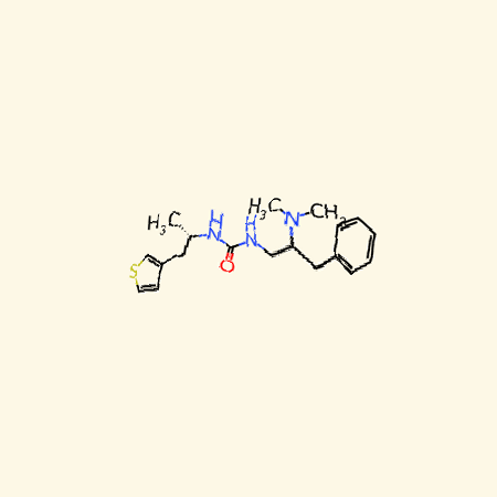 C[C@@H](Cc1ccsc1)NC(=O)NCC(Cc1ccccc1)N(C)C